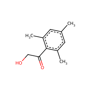 Cc1cc(C)c(C(=O)CO)c(C)c1